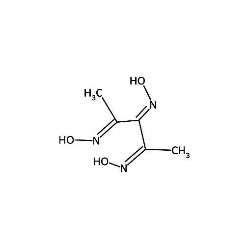 CC(=NO)C(=NO)C(C)=NO